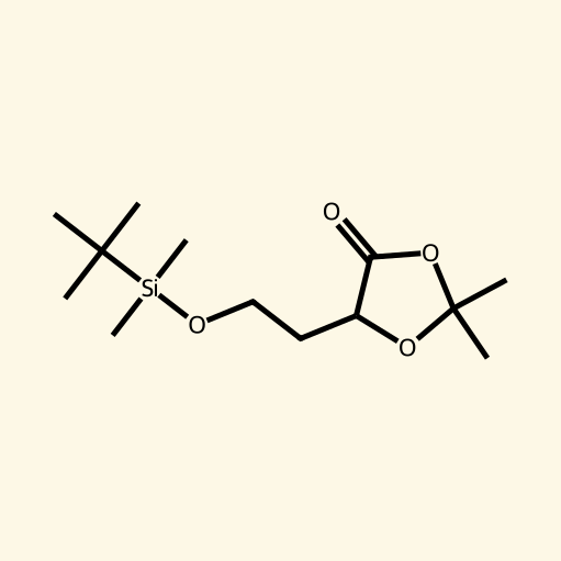 CC1(C)OC(=O)C(CCO[Si](C)(C)C(C)(C)C)O1